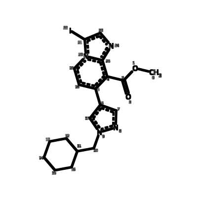 COC(=O)c1c(-c2cnn(CC3CCCCC3)c2)ccn2c(I)cnc12